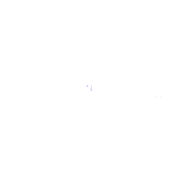 Cc1csc(C=O)[n+]1[O-]